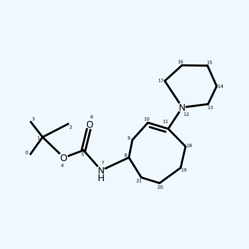 CC(C)(C)OC(=O)NC1C/C=C(/N2CCCCC2)CCCC1